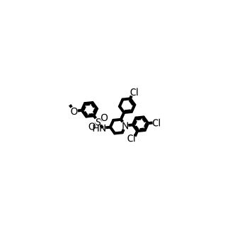 COc1cccc(S(=O)(=O)NC2CCN(c3ccc(Cl)cc3Cl)C(C3=CC=C(Cl)CC3)C2)c1